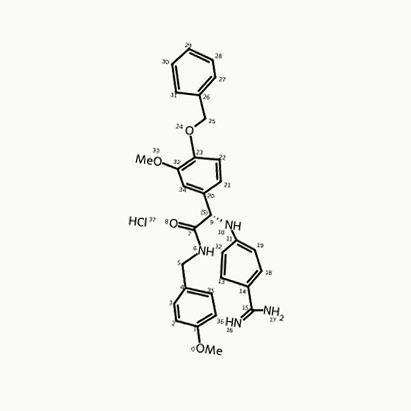 COc1ccc(CNC(=O)[C@@H](Nc2ccc(C(=N)N)cc2)c2ccc(OCc3ccccc3)c(OC)c2)cc1.Cl